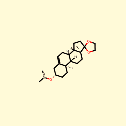 C[SiH](C)O[C@H]1CC[C@@]2(C)C(=CC[C@@H]3[C@@H]2CC[C@@]2(C)[C@H]3CCC23OCCO3)C1